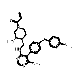 C=CC(=O)N1CC[C@@H](CNc2ncnc(N)c2-c2ccc(Oc3ccc(N)cc3)cc2)[C@H](O)C1